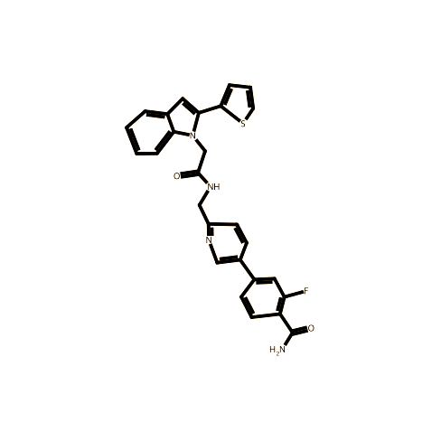 NC(=O)c1ccc(-c2ccc(CNC(=O)Cn3c(-c4cccs4)cc4ccccc43)nc2)cc1F